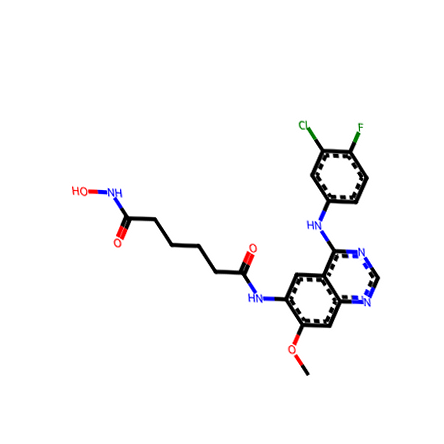 COc1cc2ncnc(Nc3ccc(F)c(Cl)c3)c2cc1NC(=O)CCCCC(=O)NO